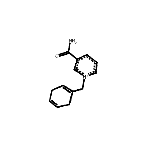 NC(=O)c1ccc[n+](CC2=CCC=CC2)c1